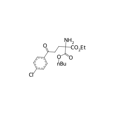 CCCCOC(=O)C(N)(CCC(=O)c1ccc(Cl)cc1)C(=O)OCC